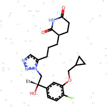 CC[C@@](O)(Cn1nncc1CCCC1CCC(=O)NC1=O)c1ccc(F)c(OCC2CC2)c1